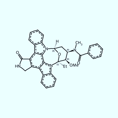 CC[C@]12O[C@H](C[C@@H](N(C)C(=O)c3ccccc3)[C@H]1OC)n1c3ccccc3c3c4c(c5c6ccccc6n2c5c31)CNC4=O